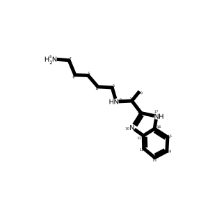 CC(NCCCCCN)c1nc2ccccc2[nH]1